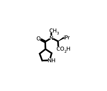 CC(C)[C@@H](C(=O)O)N(C)C(=O)C1CCNC1